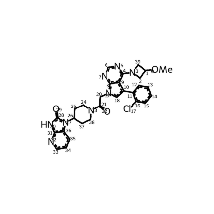 COC1CN(c2ncnc3c2c(-c2ccccc2Cl)cn3CC(=O)N2CCC(n3c(=O)[nH]c4ncccc43)CC2)C1